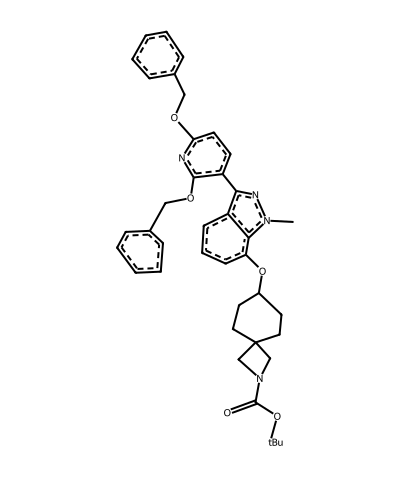 Cn1nc(-c2ccc(OCc3ccccc3)nc2OCc2ccccc2)c2cccc(OC3CCC4(CC3)CN(C(=O)OC(C)(C)C)C4)c21